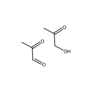 CC(=O)C=O.CC(=O)CO